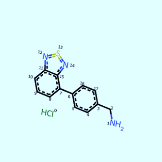 Cl.NCc1ccc(-c2cccc3nsnc23)cc1